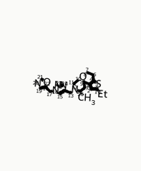 CCc1cc2c(s1)CCO[C@@]21CCN(Cc2cn(Cc3cnco3)nn2)[C@@H](C)C1